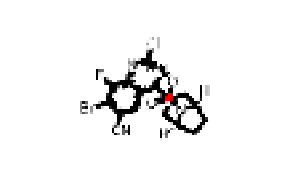 CC(C)(C)OC(=O)N1[C@@H]2CC[C@H]1CN(c1nc(Cl)nc3c(F)c(Br)c(C#N)cc13)C2